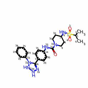 CC(C)S(=O)(=O)NC1CCN(C(=O)Nc2ccc(C3=NNNN3c3ccccc3)cc2)CC1